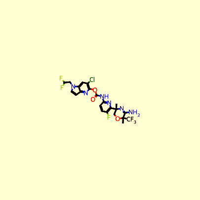 CC1(c2nc(NC(=O)Oc3nc4ccn(CC(F)F)c4cc3Cl)ccc2F)COC(C)(C(F)(F)F)C(N)=N1